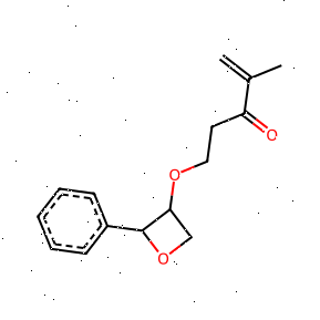 C=C(C)C(=O)CCOC1COC1c1ccccc1